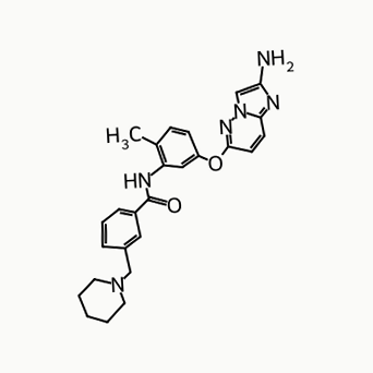 Cc1ccc(Oc2ccc3nc(N)cn3n2)cc1NC(=O)c1cccc(CN2CCCCC2)c1